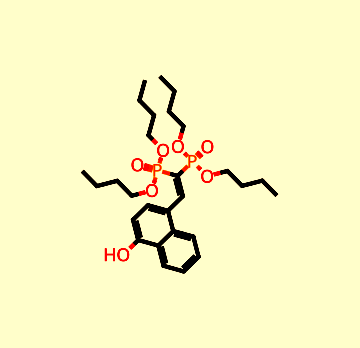 CCCCOP(=O)(OCCCC)C(=Cc1ccc(O)c2ccccc12)P(=O)(OCCCC)OCCCC